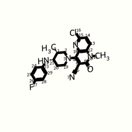 C[C@@H]1CN(c2c(C#N)c(=O)n(C)c3ccc(Cl)nc23)CC[C@@H]1Nc1ccc(F)cc1